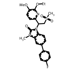 CCOc1nc(C(CS(C)(=O)=O)n2c(=O)n(C)c3cc(-c4ccc(F)cc4)ccc32)ccc1OC